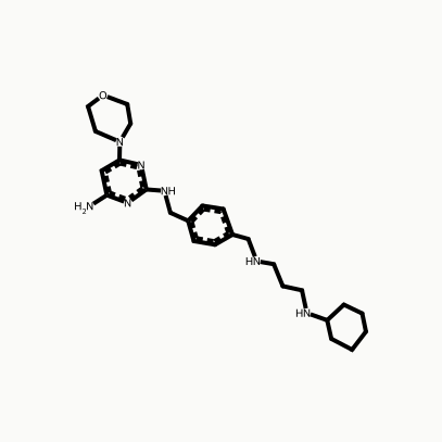 Nc1cc(N2CCOCC2)nc(NCc2ccc(CNCCCNC3CCCCC3)cc2)n1